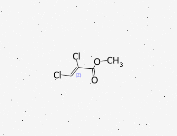 COC(=O)/C(Cl)=C/Cl